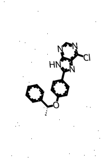 C[C@@H](Oc1ccc(-c2nc3c(Cl)ncnc3[nH]2)cc1)c1ccccc1